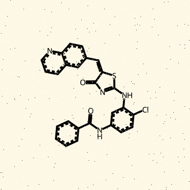 O=C1N=C(Nc2cc(NC(=O)c3ccccc3)ccc2Cl)SC1=Cc1ccc2ncccc2c1